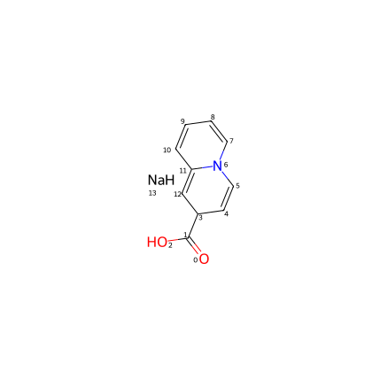 O=C(O)C1C=CN2C=CC=CC2=C1.[NaH]